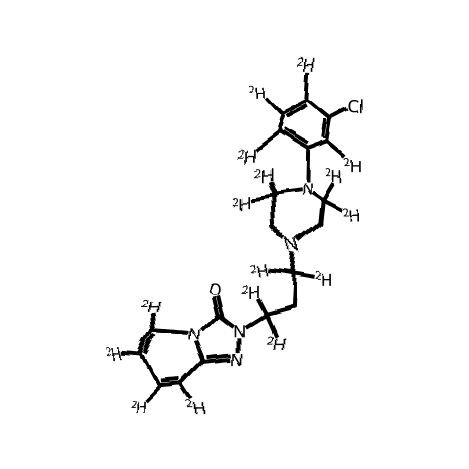 [2H]c1c([2H])c(Cl)c([2H])c(N2C([2H])([2H])CN(C([2H])([2H])CC([2H])([2H])n3nc4c([2H])c([2H])c([2H])c([2H])n4c3=O)CC2([2H])[2H])c1[2H]